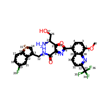 COc1ccc(-c2nc(C(=O)NCc3csc4ccc(F)cc34)c([C@@H](N)CO)o2)c2ccc(C(F)(F)F)nc12